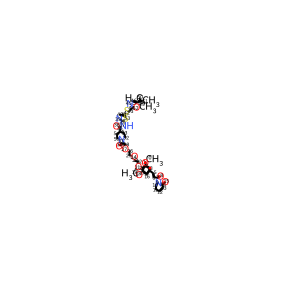 COc1cc(C=CC(=O)N2CCC=CC2=O)cc(OC)c1OCCOCCOCC(=O)N1CCC(C(=O)Nc2ncc(SCc3ncc(C(C)(C)C)o3)s2)CC1